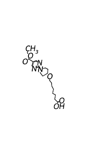 CCOC(=O)c1cnc(N2CCC(OCCCCCCCC(=O)O)CC2)nc1